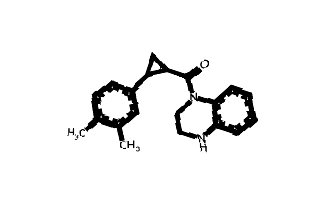 Cc1ccc(C2CC2C(=O)N2CCNc3ccccc32)cc1C